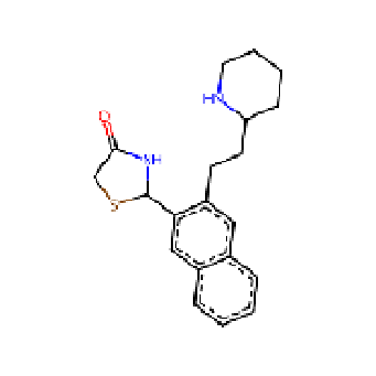 O=C1CSC(c2cc3ccccc3cc2CCC2CCCCN2)N1